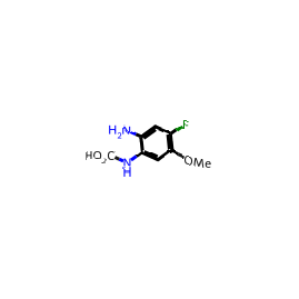 COc1cc(NC(=O)O)c(N)cc1F